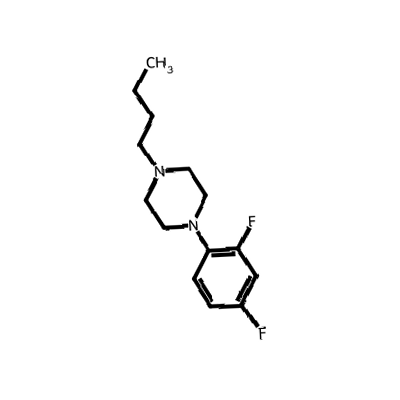 CCCCN1CCN(c2ccc(F)cc2F)CC1